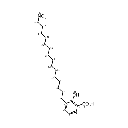 O=C(O)c1cccc(CCCCCCCCCCCCCCC[N+](=O)[O-])c1O